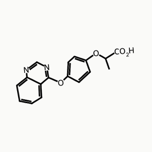 CC(Oc1ccc(Oc2ncnc3ccccc23)cc1)C(=O)O